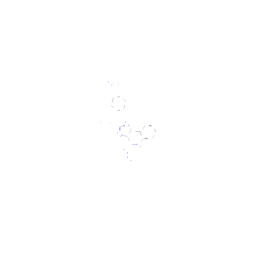 CCCCc1nc2c(NNC(CC)CC)nc3ccccc3c2n1Cc1ccc(CN)cc1